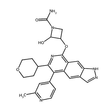 Cc1cc(-c2c(C3CCOCC3)nc(OC3CN(C(N)=O)C3O)c3cc4[nH]ncc4cc23)ccn1